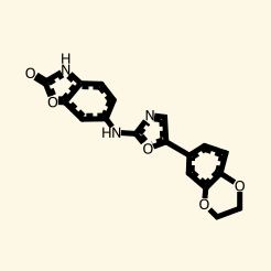 O=c1[nH]c2ccc(Nc3ncc(-c4ccc5c(c4)OCCO5)o3)cc2o1